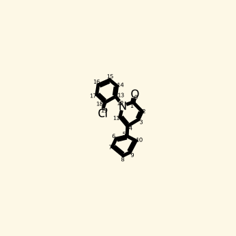 O=c1ccc(-c2ccccc2)cn1-c1ccccc1Cl